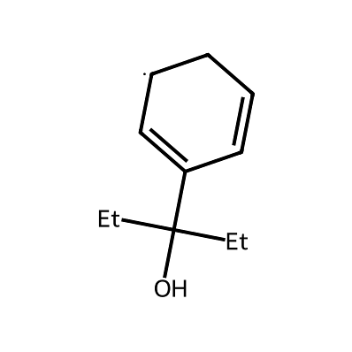 CCC(O)(CC)C1=C[CH]CC=C1